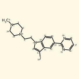 CN1CCN(CCn2cc(I)c3cc(-c4ncccn4)ccc32)CC1